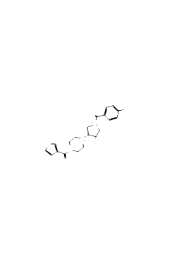 O=C(c1ccsc1)N1CCN([C@H]2CN(C(=O)c3ccc(Cl)cc3)C[C@@H]2O)CC1